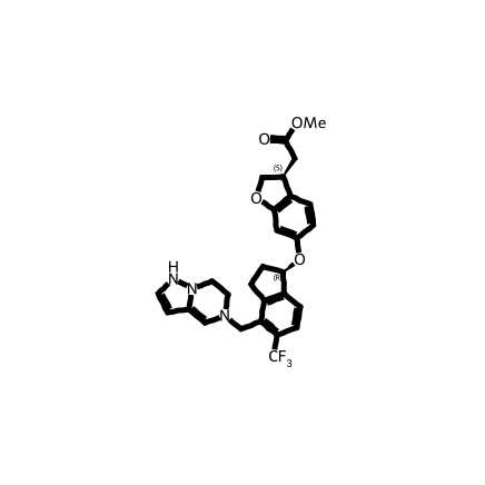 COC(=O)C[C@@H]1COc2cc(O[C@@H]3CCc4c3ccc(C(F)(F)F)c4CN3C=C4C=CNN4CC3)ccc21